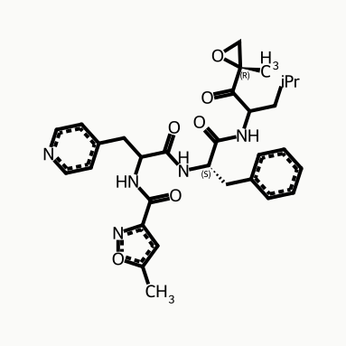 Cc1cc(C(=O)NC(Cc2ccncc2)C(=O)N[C@@H](Cc2ccccc2)C(=O)NC(CC(C)C)C(=O)[C@@]2(C)CO2)no1